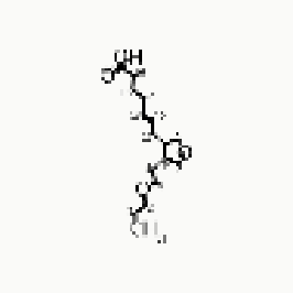 CCCOCC[C@@H]1COC[C@@H]1CC=CCCCC(=O)O